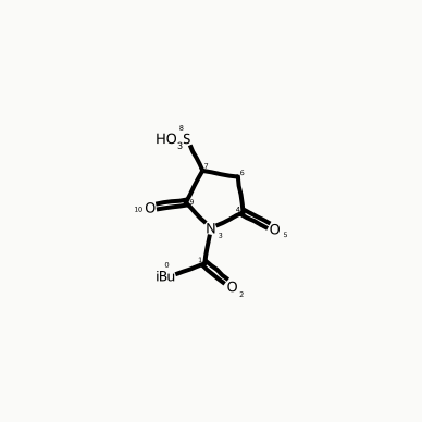 CCC(C)C(=O)N1C(=O)CC(S(=O)(=O)O)C1=O